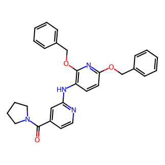 O=C(c1ccnc(Nc2ccc(OCc3ccccc3)nc2OCc2ccccc2)c1)N1CCCC1